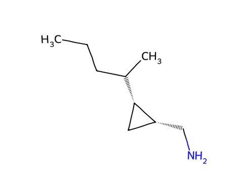 CCCC(C)[C@H]1C[C@H]1CN